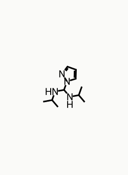 CC(C)NC(NC(C)C)n1cccn1